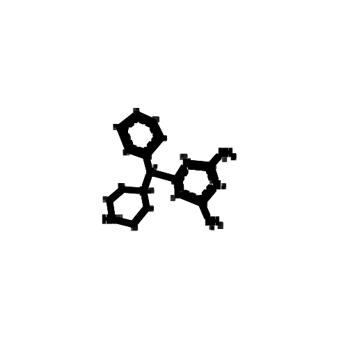 Nc1nc(N)nc(N(c2ccccc2)N2CCNCC2)n1